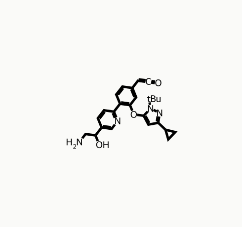 CC(C)(C)n1nc(C2CC2)cc1Oc1cc(C=C=O)ccc1-c1ccc(C(O)CN)cn1